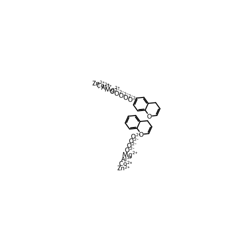 C1=COc2ccccc2C1.C1=COc2ccccc2C1.[Al+3].[Al+3].[Co+2].[Co+2].[Mg+2].[Mg+2].[O-2].[O-2].[O-2].[O-2].[O-2].[O-2].[O-2].[O-2].[O-2].[Zn+2].[Zn+2]